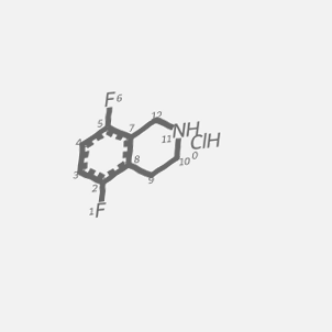 Cl.Fc1ccc(F)c2c1CCNC2